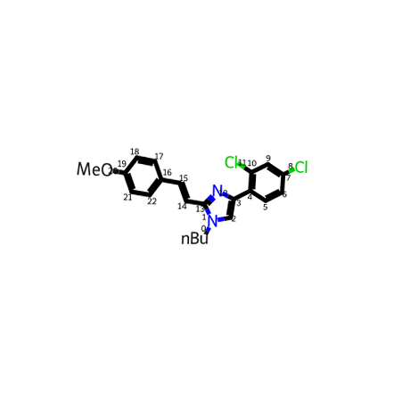 CCCCn1cc(-c2ccc(Cl)cc2Cl)nc1C=Cc1ccc(OC)cc1